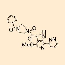 COc1cnc(-c2cccnn2)c2c1C(C(=O)C(=O)N1CCN(C(=O)c3ccccc3)CC1)CN2